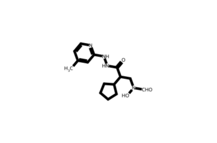 Cc1ccnc(NNC(=O)C(CN(O)C=O)C2CCCC2)c1